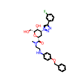 CN(CCNc1ccc(OCc2ccccc2)cc1)C(=O)[C@H]1C[C@@H](n2cc(-c3cccc(F)c3)nn2)[C@@H](O)[C@@H](CO)O1